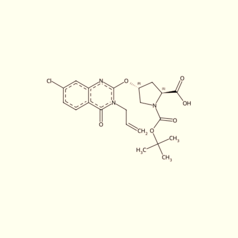 C=CCn1c(O[C@@H]2C[C@@H](C(=O)O)N(C(=O)OC(C)(C)C)C2)nc2cc(Cl)ccc2c1=O